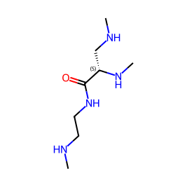 CNCCNC(=O)[C@H](CNC)NC